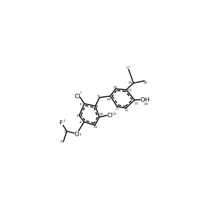 CC(F)Oc1cc(Cl)c(Cc2ccc(O)c(C(C)C)c2)c(Cl)c1